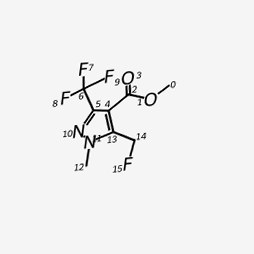 COC(=O)c1c(C(F)(F)F)nn(C)c1CF